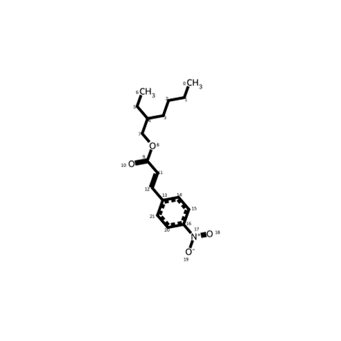 CCCCC(CC)COC(=O)/C=C/c1ccc([N+](=O)[O-])cc1